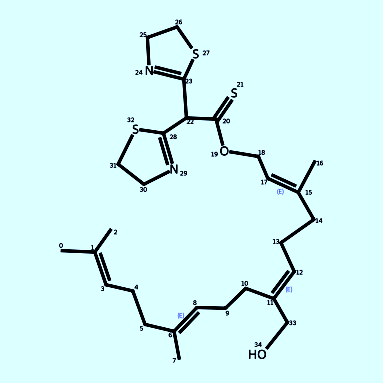 CC(C)=CCC/C(C)=C/CC/C(=C\CC/C(C)=C/COC(=S)C(C1=NCCS1)C1=NCCS1)CO